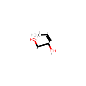 C=CC(=O)O.OCCO